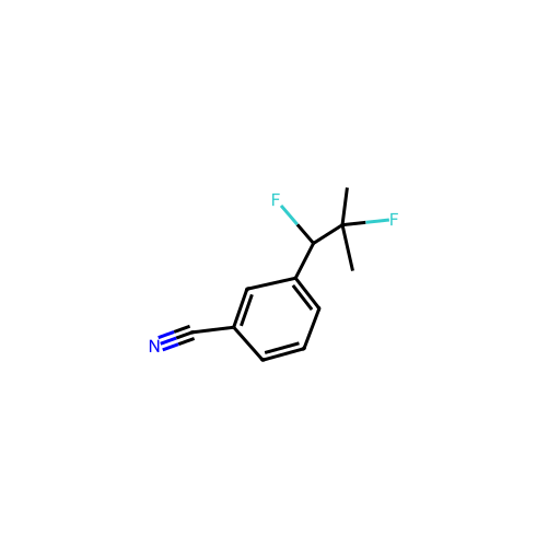 CC(C)(F)C(F)c1cccc(C#N)c1